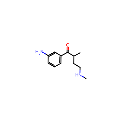 CNCCC(C)C(=O)c1cccc(N)c1